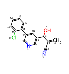 C=C(C#N)C(O)c1cncc(-c2ccccc2Cl)c1